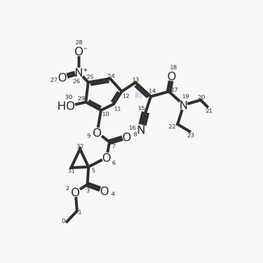 CCOC(=O)C1(OC(=O)Oc2cc(/C=C(\C#N)C(=O)N(CC)CC)cc([N+](=O)[O-])c2O)CC1